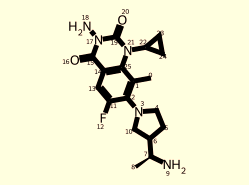 Cc1c(N2CCC([C@H](C)N)C2)c(F)cc2c(=O)n(N)c(=O)n(C3CC3)c12